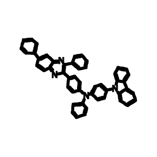 c1ccc(-c2ccc3nc(-c4ccc(N(c5ccccc5)c5ccc(-n6c7ccccc7c7ccccc76)cc5)cc4)c(-c4ccccc4)nc3c2)cc1